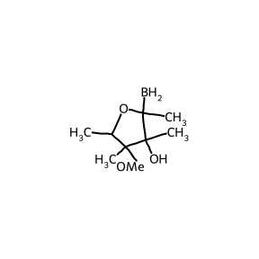 BC1(C)OC(C)C(C)(OC)C1(C)O